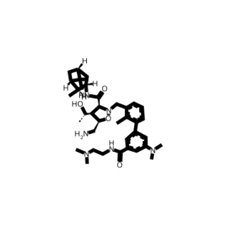 Cc1c(CN2O[C@@H](CN)[C@@H]([C@H](C)O)[C@H]2C(=O)N[C@H]2C[C@H]3C[C@@H]([C@@H]2C)C3(C)C)cccc1-c1cc(C(=O)NCCN(C)C)cc(N(C)C)c1